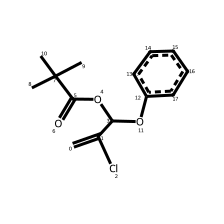 C=C(Cl)C(OC(=O)C(C)(C)C)Oc1ccccc1